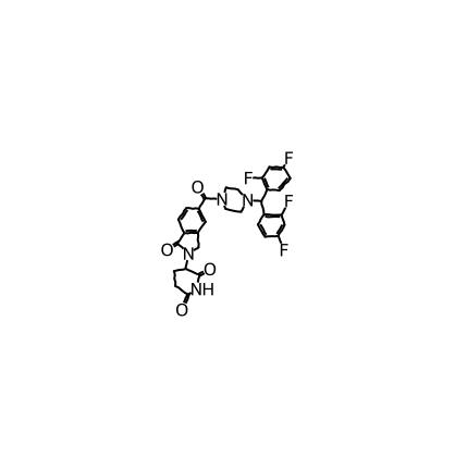 O=C1CCC(N2Cc3cc(C(=O)N4CCN(C(c5ccc(F)cc5F)c5ccc(F)cc5F)CC4)ccc3C2=O)C(=O)N1